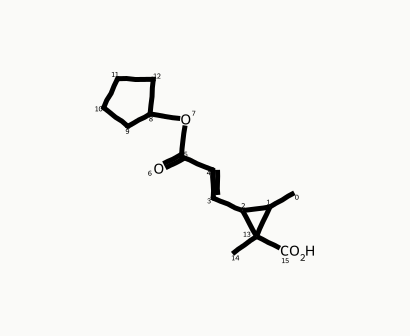 CC1C(C=CC(=O)OC2CCCC2)C1(C)C(=O)O